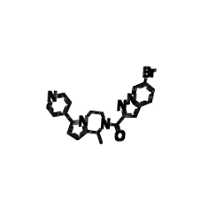 CC1c2ccc(-c3ccncc3)n2CCN1C(=O)c1cc2ccc(Br)cn2n1